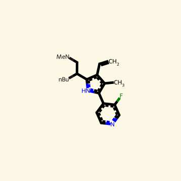 C=Cc1c(C(CCCC)CNC)[nH]c(-c2ccncc2F)c1C